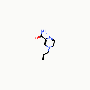 C=CCN1C=C(C(N)=O)N=CC1